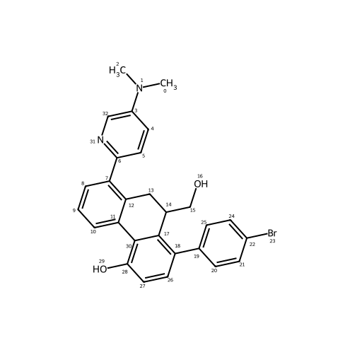 CN(C)c1ccc(-c2cccc3c2CC(CO)c2c(-c4ccc(Br)cc4)ccc(O)c2-3)nc1